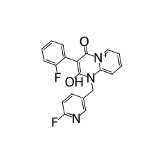 O=c1c(-c2ccccc2F)c(O)n(Cc2ccc(F)nc2)c2cccc[n+]12